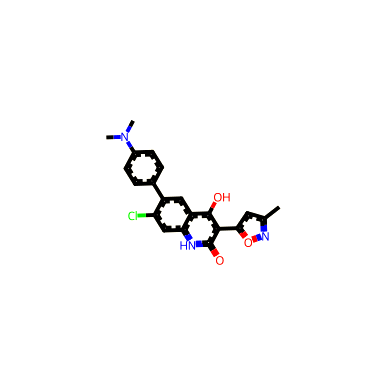 Cc1cc(-c2c(O)c3cc(-c4ccc(N(C)C)cc4)c(Cl)cc3[nH]c2=O)on1